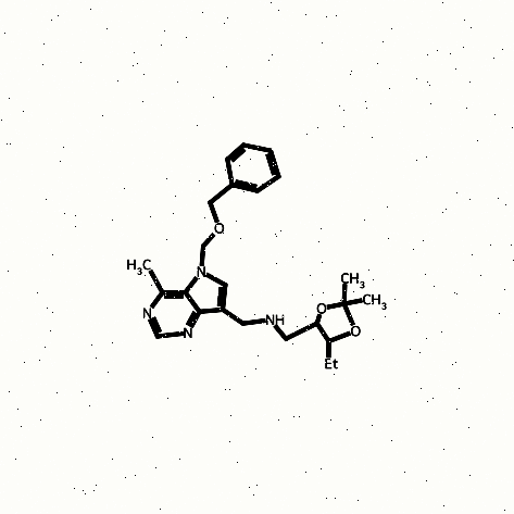 CCC1OC(C)(C)OC1CNCc1cn(COCc2ccccc2)c2c(C)ncnc12